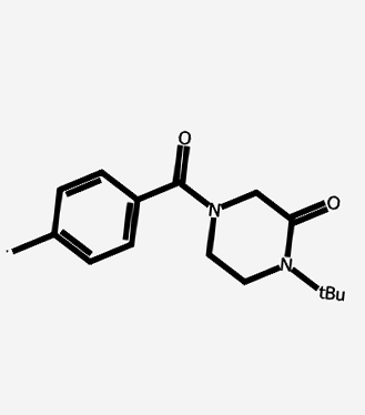 [CH2]c1ccc(C(=O)N2CCN(C(C)(C)C)C(=O)C2)cc1